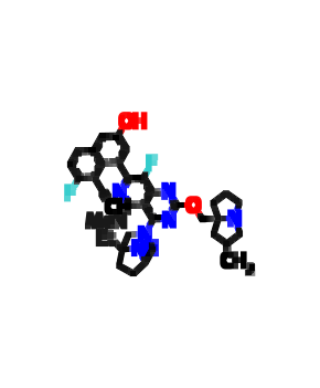 C#Cc1c(F)ccc2cc(O)cc(-c3nc(NC)c4c(N5CC6CCC(CC)(C5)N6)nc(OC[C@@]56CCCN5CC(=C)C6)nc4c3F)c12